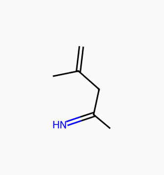 C=C(C)CC(C)=N